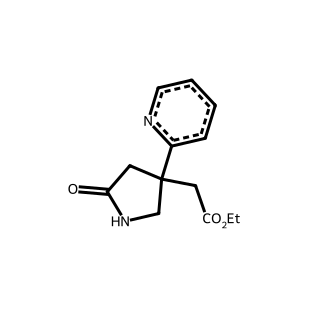 CCOC(=O)CC1(c2ccccn2)CNC(=O)C1